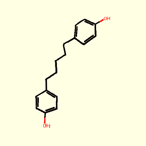 Oc1ccc(CCCCCc2ccc(O)cc2)cc1